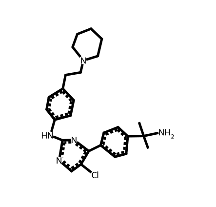 CC(C)(N)c1ccc(-c2nc(Nc3ccc(CCN4CCCCC4)cc3)ncc2Cl)cc1